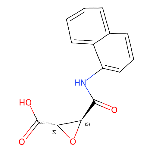 O=C(O)[C@H]1O[C@@H]1C(=O)Nc1cccc2ccccc12